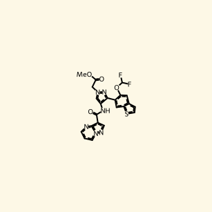 COC(=O)Cn1cc(NC(=O)c2cnn3cccnc23)c(-c2cc3sccc3cc2OC(F)F)n1